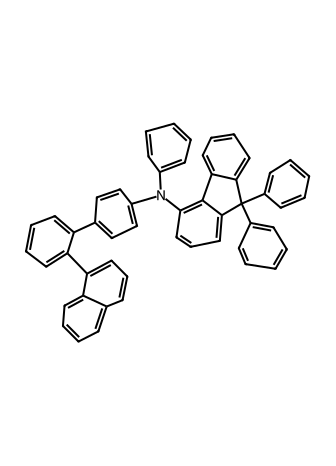 c1ccc(N(c2ccc(-c3ccccc3-c3cccc4ccccc34)cc2)c2cccc3c2-c2ccccc2C3(c2ccccc2)c2ccccc2)cc1